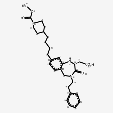 CC(C)(C)OC(=O)N1CCC(CCCCc2ccc3c(c2)N[C@H](CC(=O)O)C(=O)N(CCc2ccccc2)C3)CC1